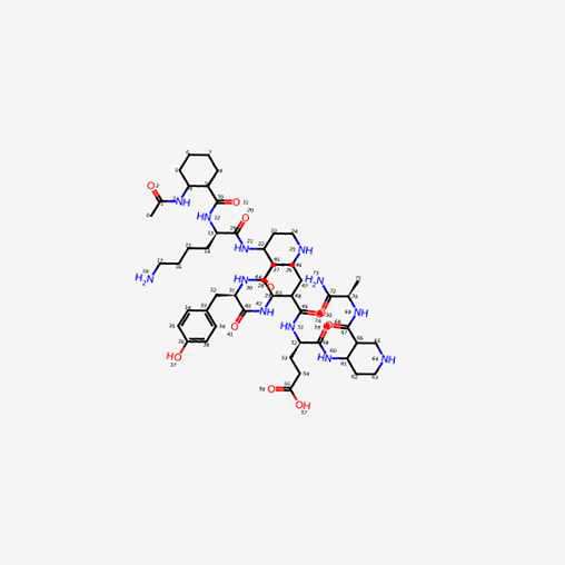 CC(=O)NC1CCCCC1C(=O)N[C@H](CCCCN)C(=O)NC1CCNCC1C(=O)N[C@H](Cc1ccc(O)cc1)C(=O)NC1CCCCC1C(=O)N[C@H](CCC(=O)O)C(=O)NC1CCNCC1C(=O)N[C@H](C)C(N)=O